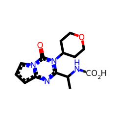 CC(NC(=O)O)c1nc2cccn2c(=O)n1C1CCOCC1